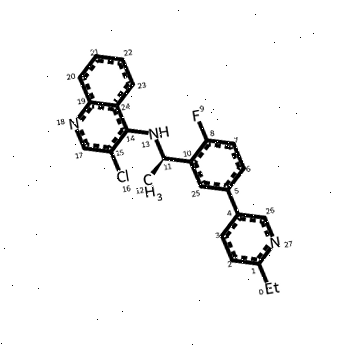 CCc1ccc(-c2ccc(F)c([C@@H](C)Nc3c(Cl)cnc4ccccc34)c2)cn1